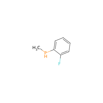 CPc1ccccc1F